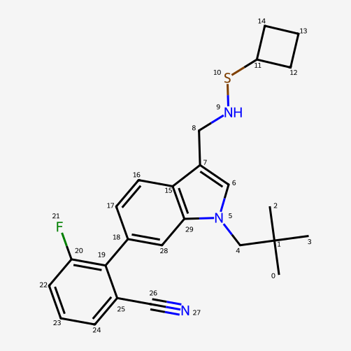 CC(C)(C)Cn1cc(CNSC2CCC2)c2ccc(-c3c(F)cccc3C#N)cc21